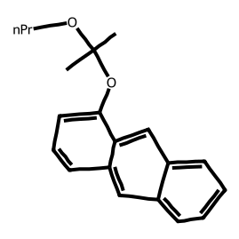 CCCOC(C)(C)Oc1cccc2cc3ccccc3cc12